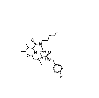 CCCCCCN1C[C@H]2N(C(=O)CN(C)N2C(=O)NCc2ccc(F)cc2)[C@@H](C(C)CC)C1=O